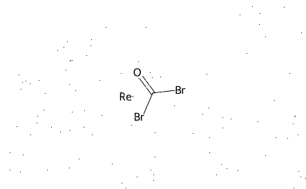 O=C(Br)Br.[Re]